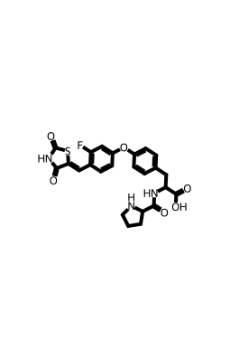 O=C1NC(=O)C(=Cc2ccc(Oc3ccc(CC(NC(=O)C4CCCN4)C(=O)O)cc3)cc2F)S1